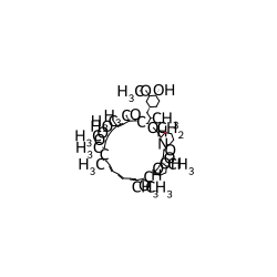 C=C1O[C@H]([C@H](C)C[C@@H]2CC[C@@H](O)[C@H](OC)C2)CC(=O)[C@H](C)/C=C(\C)[C@@H](O)[C@@H](OC)C(=O)[C@H](C)C[C@H](C)/C=C/C=C/C=C(\C)[C@@H](OC)C[C@@H]2CC[C@@H](C)[C@@](O)(O2)C(=O)C(=O)N2CCCC[C@@H]12